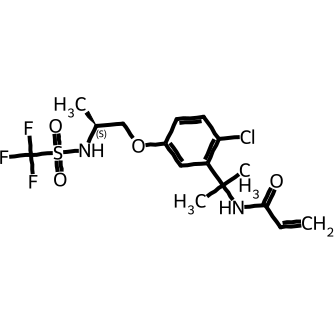 C=CC(=O)NC(C)(C)c1cc(OC[C@H](C)NS(=O)(=O)C(F)(F)F)ccc1Cl